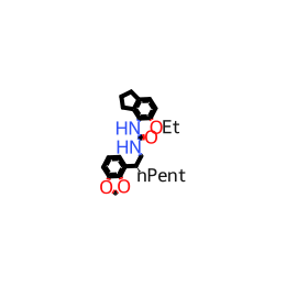 CCCCC[C@@H](CNC(=O)Nc1c(OCC)ccc2c1CCC2)c1cccc2c1OCO2